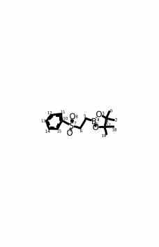 CC1(C)OB(CCS(=O)(=O)c2ccccc2)OC1(C)C